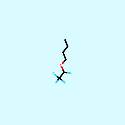 CCCCOC(F)C(F)(F)F